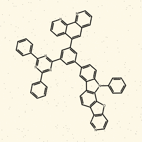 c1ccc(-c2nc(-c3ccccc3)nc(-c3cc(-c4ccc5c(c4)c4ccc6c7cnccc7oc6c4n5-c4ccccc4)cc(-c4cc5cccnc5c5ncccc45)c3)n2)cc1